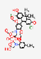 Cc1ccc(N(COC=O)CC(=O)O)c(OCCOc2cc(C3=C4C=C(Cl)C(=O)C=C4C(C)(C)c4cc(O)c(Cl)cc43)c(OC=O)cc2N(COC=O)CC(=O)O)c1